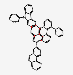 c1ccc(-c2ccccc2-c2c(-c3ccccc3)cccc2N(c2ccc(-c3ccc4c(ccc5ccccc54)c3)cc2)c2ccc3c(c2)c2ccccc2n3-c2ccccc2)cc1